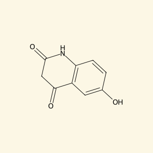 O=C1CC(=O)c2cc(O)ccc2N1